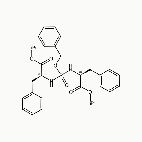 CC(C)OC(=O)[C@H](Cc1ccccc1)NP(=O)(N[C@@H](Cc1ccccc1)C(=O)OC(C)C)OCc1ccccc1